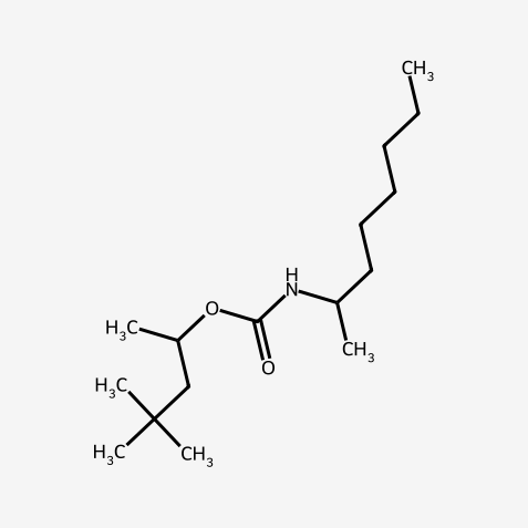 CCCCCCC(C)NC(=O)OC(C)CC(C)(C)C